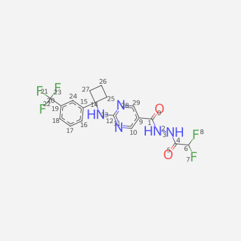 O=C(NNC(=O)C(F)F)c1cnc(NC2(c3cccc(C(F)(F)F)c3)CCC2)nc1